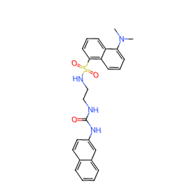 CN(C)c1cccc2c(S(=O)(=O)NCCNC(=O)Nc3ccc4ccccc4c3)cccc12